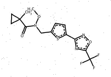 CON(Cc1ccc(-c2noc(C(F)(F)F)n2)s1)C(=O)C1(C)CC1